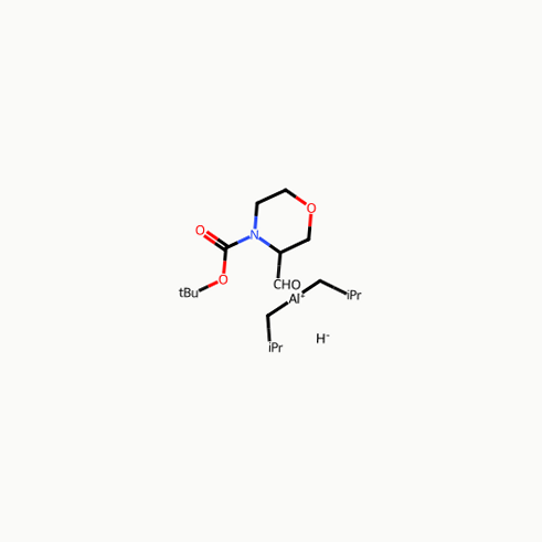 CC(C)(C)OC(=O)N1CCOCC1C=O.CC(C)[CH2][Al+][CH2]C(C)C.[H-]